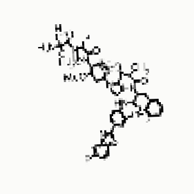 COC(CC(=O)N1CCCC1C(OC)C(C)C(=O)NC(Cc1ccccc1)C(=O)Nc1ccc(-c2nc3cc(F)ccc3s2)cc1C)C(C(C)C)N(C)C(=O)C(NC(=O)C(C)(C)N)C(C)C